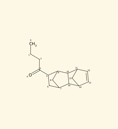 CCCC(=O)C1CC2CC1C1C3C=CC(C3)C21